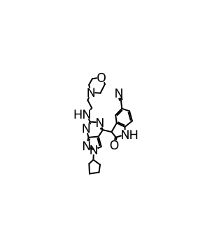 N#Cc1ccc2c(c1)C(c1nc(NCCN3CCOCC3)nc3nn(C4CCCC4)cc13)C(=O)N2